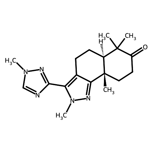 Cn1cnc(-c2c3c(nn2C)[C@@]2(C)CCC(=O)C(C)(C)[C@@H]2CC3)n1